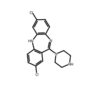 Clc1ccc2c(c1)Nc1ccc(Cl)cc1C(N1CCNCC1)=N2